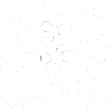 CCN(CC)CCNC(=O)c1c(C)[nH]c(C=C2C(=O)Nc3ccccc32)c1-c1cccc(OC)c1